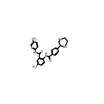 Cc1ccc(NC(=O)c2cc(C)ccc2NC(=O)c2ccc(C3CNCCCN3)cc2)nc1